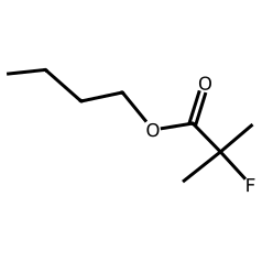 CCCCOC(=O)C(C)(C)F